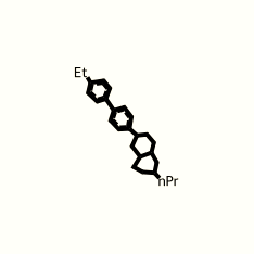 CCCC1CCC2CC(c3ccc(-c4ccc(CC)cc4)cc3)CCC2C1